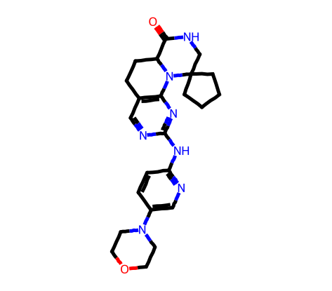 O=C1NCC2(CCCC2)N2c3nc(Nc4ccc(N5CCOCC5)cn4)ncc3CCC12